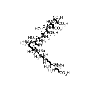 CC(C)C[C@H](N)C(=O)O.CC(C)[C@H](N)C(=O)O.CC[C@H](C)[C@H](N)C(=O)O.C[C@H](N)C(=O)O.N=C(N)NCCC[C@H](N)C(=O)O.N[C@@H](CC(=O)O)C(=O)O.N[C@@H](CCC(=O)O)C(=O)O.N[C@@H](CCC(=O)O)C(=O)O.N[C@@H](CCC(=O)O)C(=O)O.N[C@@H](Cc1c[nH]cn1)C(=O)O